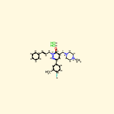 Cc1cc(-c2cc(CN3CCN(C)CC3)c(=O)n(CC=Cc3ccccc3)n2)ccc1F.Cl.Cl